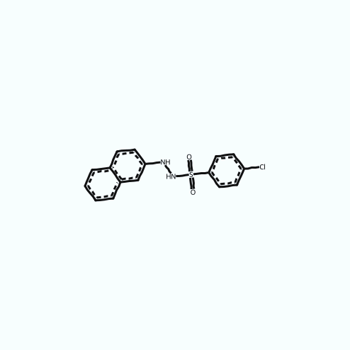 O=S(=O)(NNc1ccc2ccccc2c1)c1ccc(Cl)cc1